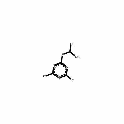 CC(C)Sc1nc(Cl)nc(Cl)n1